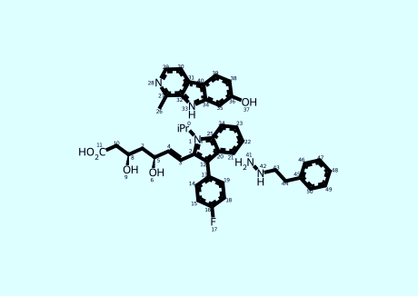 CC(C)n1c(/C=C/[C@@H](O)C[C@@H](O)CC(=O)O)c(-c2ccc(F)cc2)c2ccccc21.Cc1nccc2c1[nH]c1cc(O)ccc12.NNCCc1ccccc1